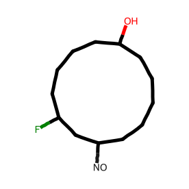 O=NC1CCCCCC(O)CCCCC(F)C1